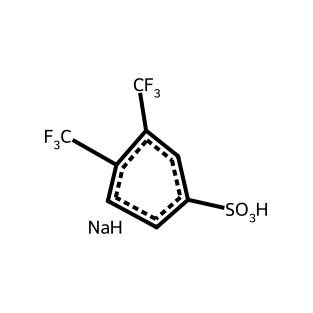 O=S(=O)(O)c1ccc(C(F)(F)F)c(C(F)(F)F)c1.[NaH]